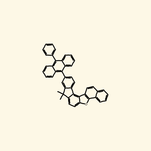 CC1(C)c2cc(-c3c4ccccc4c(-c4ccccc4)c4ccccc34)ccc2-c2c1ccc1oc3c4ccccc4ccc3c21